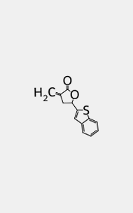 C=C1CC(c2cc3ccccc3s2)OC1=O